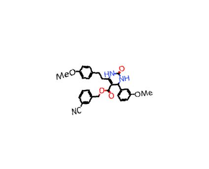 COc1ccc(CCC2=C(C(=O)OCc3cccc(C#N)c3)C(c3cccc(OC)c3)NC(=O)N2)cc1